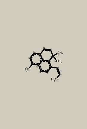 Bc1ccc2c3c(c(/C=C\C)ccc13)C(C)(C)C=C2